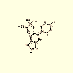 CN1CCN(c2ccc3c(c2)CNC3)CC1.O=C(O)C(F)(F)F